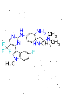 CNC1(CCN(C)C)C=CC(Nc2ncc(C(F)(F)F)c(-c3cn(C)c4ccc(F)cc34)n2)=CC1N